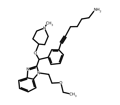 CCOCCn1c(C(OC2CCN(C)CC2)c2cccc(C#CCCCCN)c2)nc2ccccc21